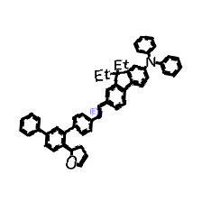 CCC1(CC)c2cc(/C=C/c3ccc(-c4cc(-c5ccccc5)ccc4C4CC=CO4)cc3)ccc2-c2ccc(N(c3ccccc3)c3ccccc3)cc21